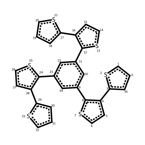 c1csc(-c2ccsc2-c2cc(-c3sccc3-c3cccs3)cc(-c3sccc3-c3cccs3)c2)c1